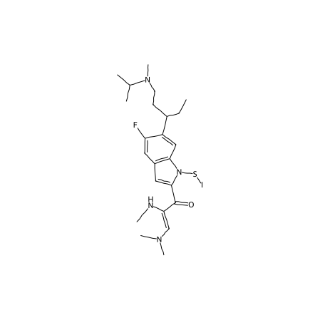 CCC(CCN(C)C(C)C)c1cc2c(cc1F)cc(C(=O)/C(=C/N(C)C)NC)n2SI